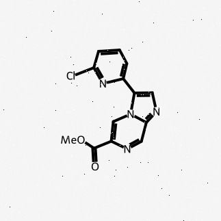 COC(=O)c1cn2c(-c3cccc(Cl)n3)cnc2cn1